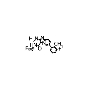 Cc1c(F)cccc1-c1ccc2nc(N)c(C(=O)N[C@@H]3C[C@@H]3F)n2c1